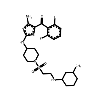 CC1CCCC(NCCS(=O)(=O)N2CCC(Nc3nc(N)c(C(=O)c4c(F)cccc4F)s3)CC2)C1